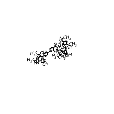 Cc1ncsc1-c1ccc(C(C)NC(=O)[C@@H]2C[C@@H](O)CN2C(=O)C(NC(=O)CN(C)C(=O)c2ccc(-c3ccc(C4=N[C@@H](CC(=O)O)c5nnc(C)n5-c5sc(C)c(C)c54)cc3)cc2)C(C)(C)C)cc1